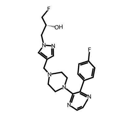 O[C@@H](CF)Cn1cc(CN2CCN(c3nccnc3-c3ccc(F)cc3)CC2)cn1